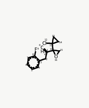 C=C(Cc1ccccc1F)C1(C2(Cl)CC2)CO1